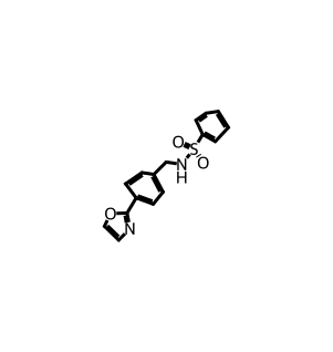 O=S(=O)(NCc1ccc(-c2ncco2)cc1)c1ccccc1